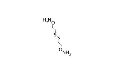 NOCCSSCCON